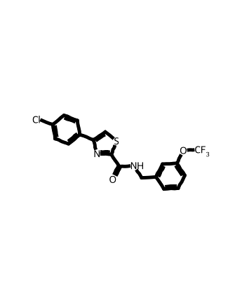 O=C(NCc1cccc(OC(F)(F)F)c1)c1nc(-c2ccc(Cl)cc2)cs1